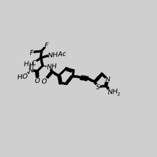 CC(=O)NC(C)(C(F)F)[C@H](NC(=O)c1ccc(C#Cc2cnc(N)s2)cc1)C(=O)NO